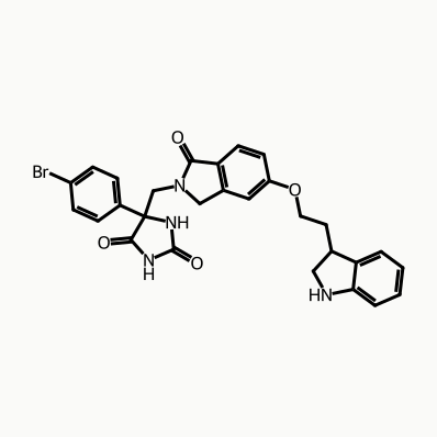 O=C1NC(=O)C(CN2Cc3cc(OCCC4CNc5ccccc54)ccc3C2=O)(c2ccc(Br)cc2)N1